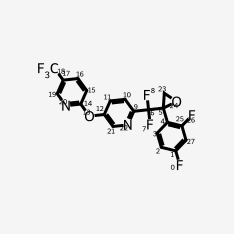 Fc1ccc(C2(C(F)(F)c3ccc(Oc4ccc(C(F)(F)F)cn4)cn3)CO2)c(F)c1